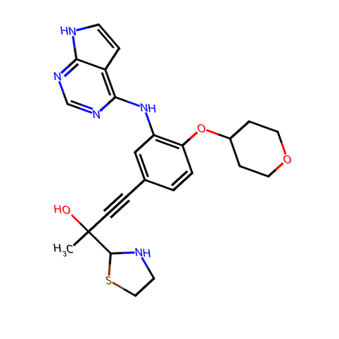 CC(O)(C#Cc1ccc(OC2CCOCC2)c(Nc2ncnc3[nH]ccc23)c1)C1NCCS1